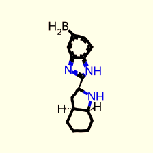 Bc1ccc2[nH]c([C@@H]3C[C@@H]4CCCC[C@@H]4N3)nc2c1